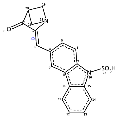 O=C1/C(=C/c2ccc3c(c2)c2ccccc2n3S(=O)(=O)O)N2CC1C2